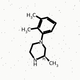 Cc1cccc(N2CCN[C@H](C)C2)c1C